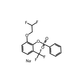 O=S(=O)(Oc1c(OCC(F)F)cccc1C(F)(F)F)c1ccccc1.[Na]